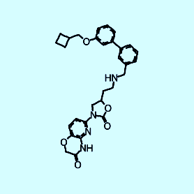 O=C1COc2ccc(N3CC(CCNCc4cccc(-c5cccc(OCC6CCC6)c5)c4)OC3=O)nc2N1